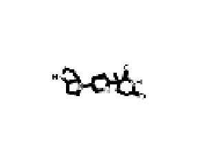 CC1(c2ccc(N3CCC4NCCC43)cn2)CCC(=O)NC1=O